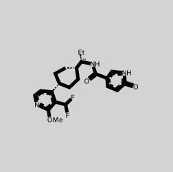 CC[C@H](NC(=O)c1ccc(=O)[nH]c1)[C@H]1CC[C@@H](c2ccnc(OC)c2C(F)F)CC1